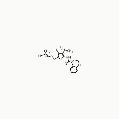 C/C(Cl)=C\CCc1sc(NC(=O)[C@H]2CCOc3ccccc32)c(C(C)C)c1I